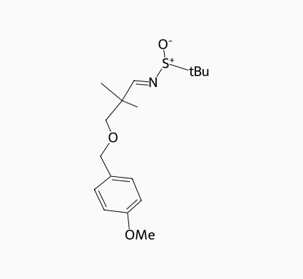 COc1ccc(COCC(C)(C)/C=N/[S+]([O-])C(C)(C)C)cc1